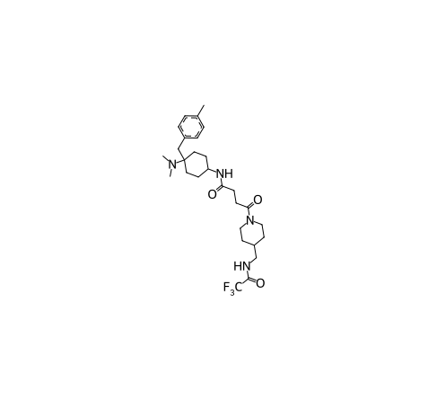 Cc1ccc(CC2(N(C)C)CCC(NC(=O)CCC(=O)N3CCC(CNC(=O)C(F)(F)F)CC3)CC2)cc1